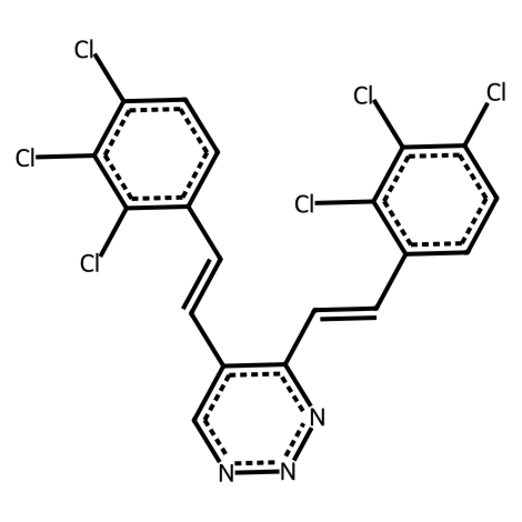 Clc1ccc(C=Cc2cnnnc2C=Cc2ccc(Cl)c(Cl)c2Cl)c(Cl)c1Cl